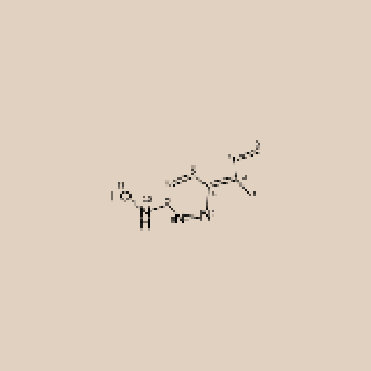 C=C/C(C)=C(C=C)/N=N\CNO